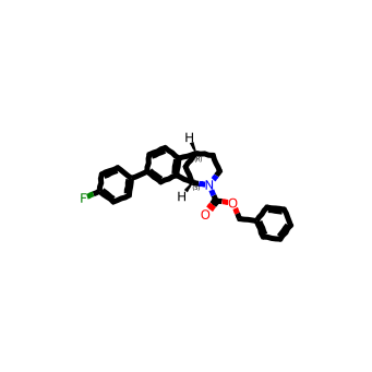 O=C(OCc1ccccc1)N1CC[C@@H]2C[C@H]1c1cc(-c3ccc(F)cc3)ccc12